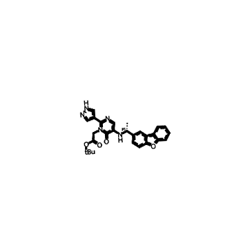 C[C@@H](Nc1cnc(-c2cn[nH]c2)n(CC(=O)OC(C)(C)C)c1=O)c1ccc2oc3ccccc3c2c1